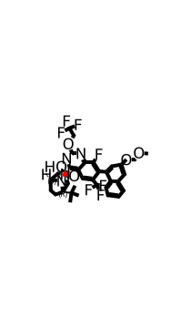 COCOc1cc(-c2c(C(F)(F)F)cc3c(N4C[C@@H]5CC[C@@](C(C)(C)C)(C4)N5C(=O)O)nc(OCC(F)(F)F)nc3c2F)c2ccccc2c1